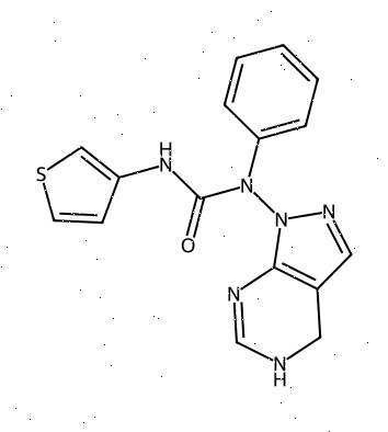 O=C(Nc1ccsc1)N(c1ccccc1)n1ncc2c1N=CNC2